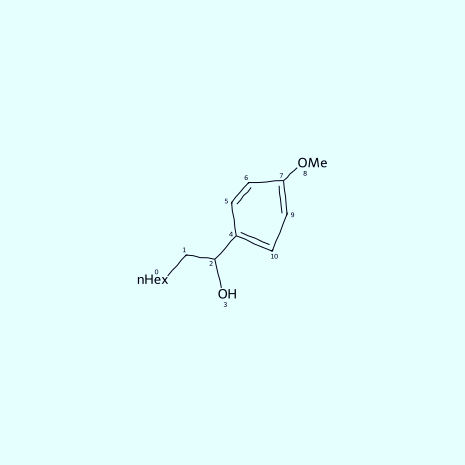 CCCCCCCC(O)c1ccc(OC)cc1